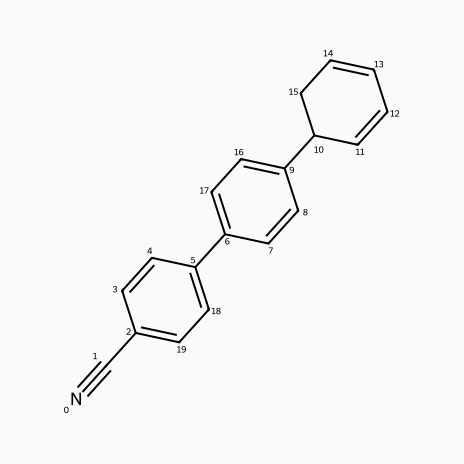 N#Cc1ccc(-c2ccc(C3C=CC=CC3)cc2)cc1